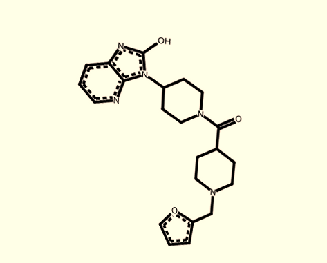 O=C(C1CCN(Cc2ccco2)CC1)N1CCC(n2c(O)nc3cccnc32)CC1